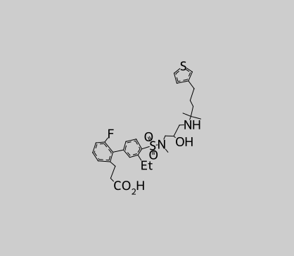 CCc1cc(-c2c(F)cccc2CCC(=O)O)ccc1S(=O)(=O)N(C)CC(O)CNC(C)(C)CCCc1ccsc1